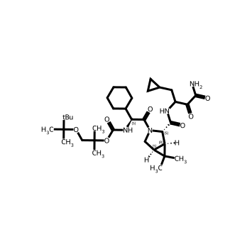 CC(C)(COC(C)(C)C(C)(C)C)OC(=O)N[C@H](C(=O)N1C[C@H]2[C@@H]([C@H]1C(=O)NC(CC1CC1)C(=O)C(N)=O)C2(C)C)C1CCCCC1